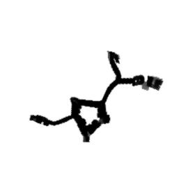 CCCc1nnc(C(C(=O)OCC)C(C)C)o1